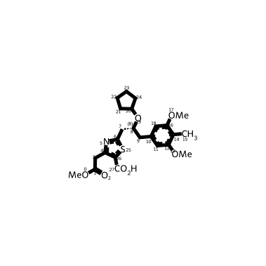 COC(=O)Cc1nc(C[C@@H](Cc2cc(OC)c(C)c(OC)c2)OC2CCCC2)sc1C(=O)O